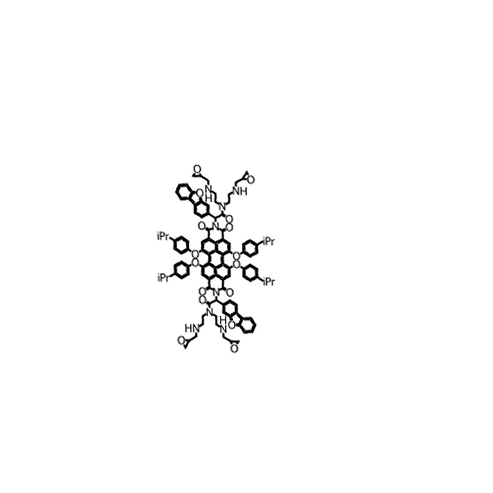 CC(C)c1ccc(Oc2cc3c4c(cc(Oc5ccc(C(C)C)cc5)c5c6c(Oc7ccc(C(C)C)cc7)cc7c8c(cc(Oc9ccc(C(C)C)cc9)c(c2c45)c86)C(=O)N(C(C(=O)N(CCNCC2CO2)CCNCC2CO2)c2ccc4c(c2)oc2ccccc24)C7=O)C(=O)N(C(C(=O)N(CCNCC2CO2)CCNCC2CO2)c2ccc4c(c2)oc2ccccc24)C3=O)cc1